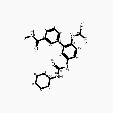 CNC(=O)c1cccc(-c2cc(OC(=O)NC3CCCCC3)ccc2OC(F)F)c1